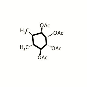 CC(=O)O[C@@H]1[C@H](OC(C)=O)[C@@H](OC(C)=O)[C@H](C)[C@H](C)[C@H]1OC(C)=O